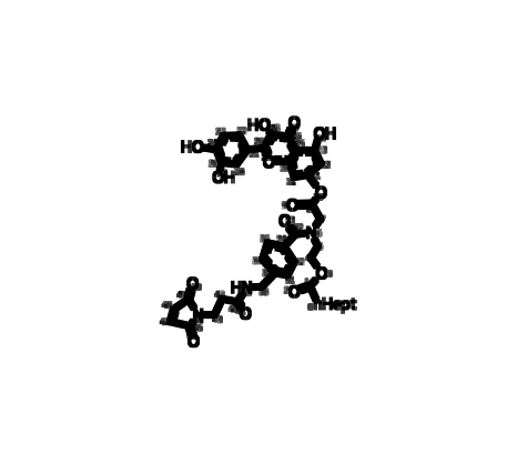 CCCCCCCC(=O)OCCN(CC(=O)Oc1cc(O)c2c(=O)c(O)c(-c3ccc(O)c(O)c3)oc2c1)C(=O)c1ccc(CNC(=O)CCN2C(=O)C=CC2=O)cc1